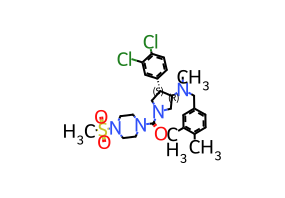 Cc1ccc(CN(C)[C@H]2CN(C(=O)N3CCN(S(C)(=O)=O)CC3)C[C@@H]2c2ccc(Cl)c(Cl)c2)cc1C